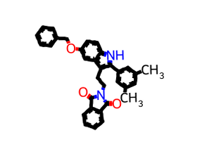 Cc1cc(C)cc(-c2[nH]c3ccc(OCc4ccccc4)cc3c2CCN2C(=O)c3ccccc3C2=O)c1